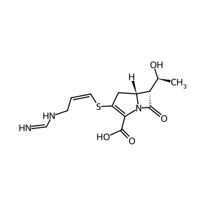 C[C@H](O)[C@@H]1C(=O)N2C(C(=O)O)=C(S/C=C\CNC=N)C[C@H]12